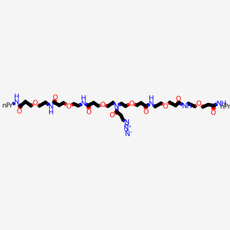 CCCNC(=O)CCOCCNC(=O)CCOCCNC(=O)CCOCCN(CCOCCC(=O)NCCOCCC(=O)NCCOCCC(=O)NCCC)C(=O)CCN=[N+]=[N-]